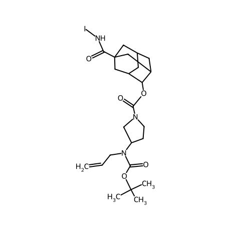 C=CCN(C(=O)OC(C)(C)C)C1CCN(C(=O)OC2C3CC4CC2CC(C(=O)NI)(C4)C3)C1